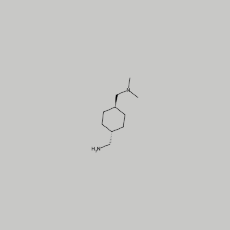 CN(C)C[C@H]1CC[C@H](CN)CC1